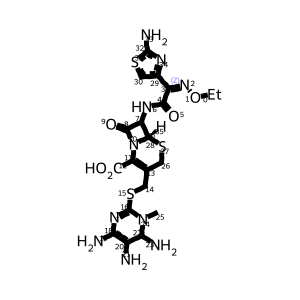 CCO/N=C(\C(=O)NC1C(=O)N2C(C(=O)O)=C(CSC3=NC(N)=C(N)C(N)N3C)CS[C@@H]12)c1csc(N)n1